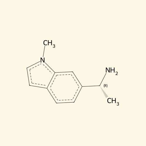 C[C@@H](N)c1ccc2ccn(C)c2c1